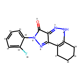 O=c1c2n[nH]c3c(c-2nn1-c1ccccc1F)CCCC3